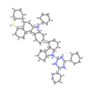 c1ccc(-c2nc(-c3ccccc3)nc(-n3c4ccccc4c4c(-c5ccc6c7c8cccc9c8c(cc7n(-c7ccccc7)c6c5)-c5ccccc5S9)cccc43)n2)cc1